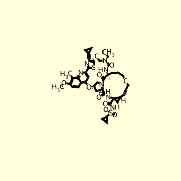 CCN(CC)C(=O)N[C@H]1CCCCC/C=C\[C@@H]2CC2(C(=O)NS(=O)(=O)C2CC2)NC(=O)[C@@H]2C[C@@H](Oc3cc(-c4nc(C5CC5)cs4)nc4c(C)c(OC)ccc34)CN2C1=O